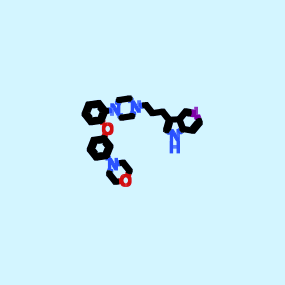 C1=CC2NC=C(CCCN3CCN(c4ccccc4Oc4cccc(N5CCOCC5)c4)CC3)C2C=I1